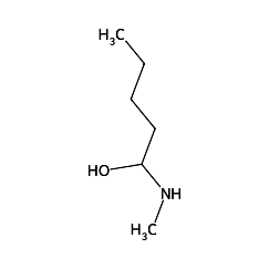 CCCCC(O)NC